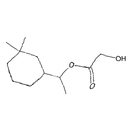 CC(OC(=O)CO)C1CCCC(C)(C)C1